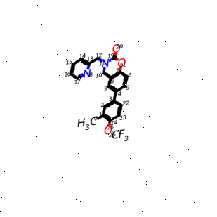 Cc1cc(-c2ccc3c(c2)CN(Cc2ccccn2)C(=O)O3)ccc1OC(F)(F)F